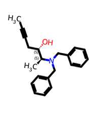 CC#CC[C@H](O)[C@H](C)N(Cc1ccccc1)Cc1ccccc1